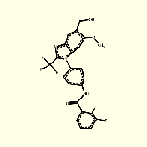 COc1cc2c(cc1CO)nc(C(F)(F)F)n2-c1ccc(NC(=O)c2cccc(F)c2F)cc1